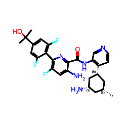 C[C@@H]1C[C@H](N)C[C@H](c2ccncc2NC(=O)c2nc(-c3c(F)cc(C(C)(C)O)cc3F)c(F)cc2N)C1